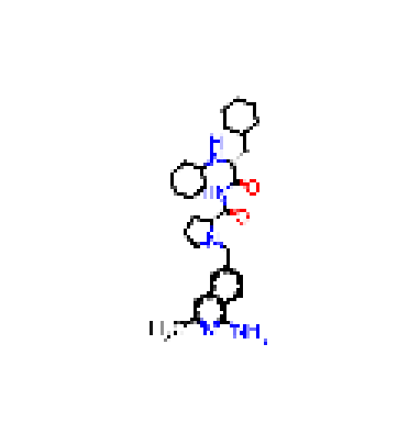 Cc1cc2cc(CN3CCC[C@H]3C(=O)NC(=O)[C@@H](CC3CCCCC3)NC3CCCCC3)ccc2c(N)n1